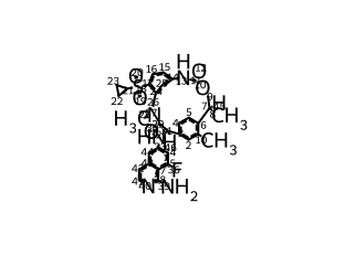 Cc1cc2ccc1[C@@H](C)COC(=O)Nc1ccc(S(=O)(=O)C3CC3)c(c1)CN(C)C(=O)[C@@H]2Nc1cc(F)c2c(N)nccc2c1